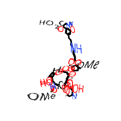 COCO/N=C1\[C@H](C)C[C@@](C)(O)[C@H](O[C@@H]2O[C@H](C)C[C@H](N(C)C)[C@H]2O)[C@@H](C)[C@H](O[C@H]2C[C@@](C)(OC)[C@@H](OC(=O)CCNCCCc3cc4c5c(c3)c(=O)c(C(=O)O)cn5N(C)CO4)[C@H](C)O2)[C@@H](C)C(=O)O[C@@H]2CC[C@]2(O)[C@@H]1O